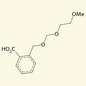 COCCOCOCc1ccccc1C(=O)O